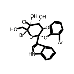 CC(=O)c1ccccc1O[C@]1(c2c[nH]c3ccccc23)O[C@](Br)(CO)[C@@](O)(Cl)[C@H](O)[C@H]1O